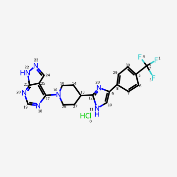 Cl.FC(F)(F)c1ccc(-c2c[nH]c(C3CCN(c4ncnc5[nH]ncc45)CC3)n2)cc1